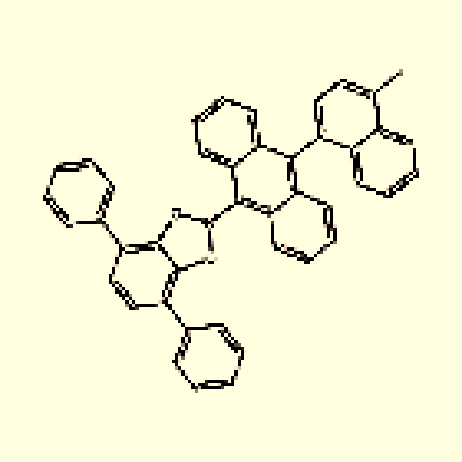 Cc1ccc(-c2c3ccccc3c(B3Oc4c(-c5ccccc5)ccc(-c5ccccc5)c4O3)c3ccccc23)c2ccccc12